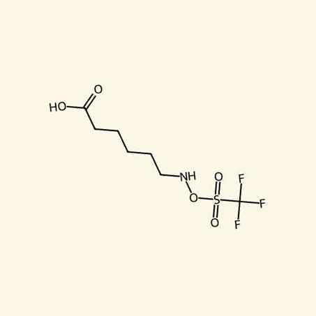 O=C(O)CCCCCNOS(=O)(=O)C(F)(F)F